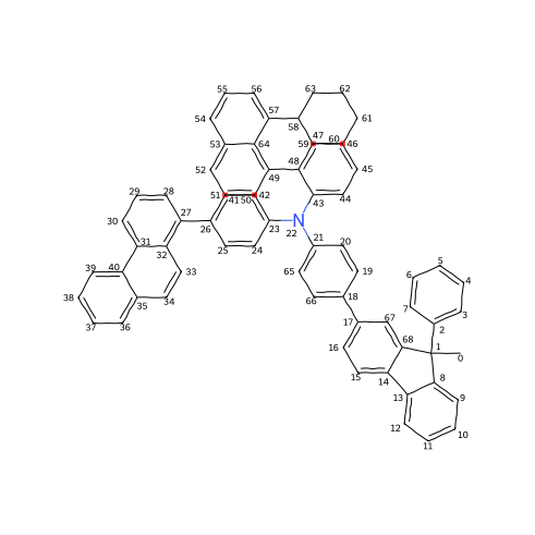 CC1(c2ccccc2)c2ccccc2-c2ccc(-c3ccc(N(c4ccc(-c5cccc6c5ccc5ccccc56)cc4)c4ccccc4-c4cccc5cccc(C6CCCCC6)c45)cc3)cc21